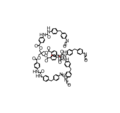 O=C=Nc1ccc(Cc2ccc(NC(=O)Nc3ccc(C(=O)OCC(COC(=O)c4ccc(NC(=O)Nc5ccc(Cc6ccc(N=C=O)cc6)cc5)cc4)(COC(=O)c4ccc(NC(=O)Nc5ccc(Cc6ccc(N=C=O)cc6)cc5)cc4)COC(=O)c4ccc(NC(=O)Nc5ccc(Cc6ccc(N=C=O)cc6)cc5)cc4)cc3)cc2)cc1